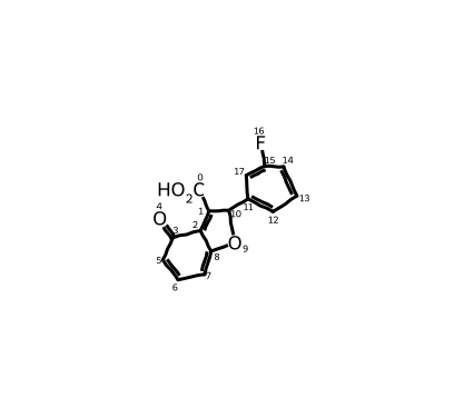 O=C(O)C1=C2C(=O)C=CC=C2OC1c1cccc(F)c1